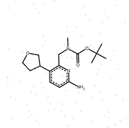 CN(Cc1nc(N)ccc1C1CCOC1)C(=O)OC(C)(C)C